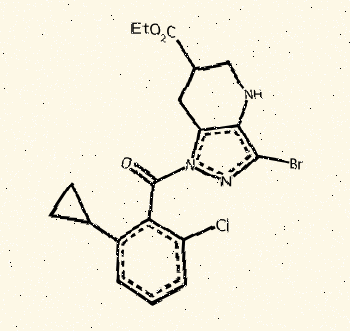 CCOC(=O)C1CNc2c(Br)nn(C(=O)c3c(Cl)cccc3C3CC3)c2C1